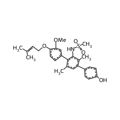 COc1cc(-c2c(C)cc(-c3ccc(O)cc3)c(C)c2NS(C)(=O)=O)ccc1OCC=C(C)C